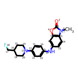 Cn1c(=O)oc2cc(Nc3ccc(N4CCC(CF)CC4)cc3)ccc21